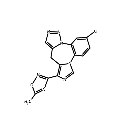 Cc1nc(-c2ncn3c2Cc2cnnn2-c2cc(Cl)ccc2-3)no1